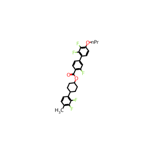 CCCOc1ccc(-c2ccc(C(=O)OC3CCC(c4ccc(C)c(F)c4F)CC3)c(F)c2)c(F)c1F